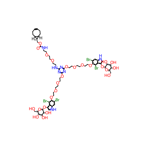 O=C(NCCOCCOCCNc1nc(OCCOCCOCCOc2c(Br)cc3[nH]cc(O[C@@H]4O[C@H](CO)[C@@H](O)[C@H](O)[C@H]4O)c3c2Br)nc(OCCOCCOCCOc2c(Br)cc3[nH]cc(O[C@@H]4O[C@H](CO)[C@@H](O)[C@H](O)[C@H]4O)c3c2Br)n1)OC[C@@H]1[C@@H]2CCC#CCC[C@@H]21